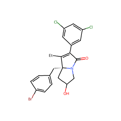 CCC1=C(c2cc(Cl)cc(Cl)c2)C(=O)N2CC(O)C[C@@]12Cc1ccc(Br)cc1